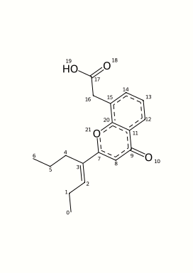 CCC=C(CCC)c1cc(=O)c2cccc(CC(=O)O)c2o1